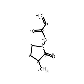 C=CC(=O)NN1CCC(C)C1=O